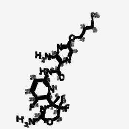 C[C@]1(c2nc(NC(=O)c3ncc(OCCCF)nc3N)ccc2F)N=C(N)OCC1(F)F